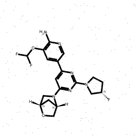 Nc1ncc(-c2cc(N3C[C@@H]4C[C@H]3CO4)nc(N3CC[C@H](F)C3)n2)cc1OC(F)F